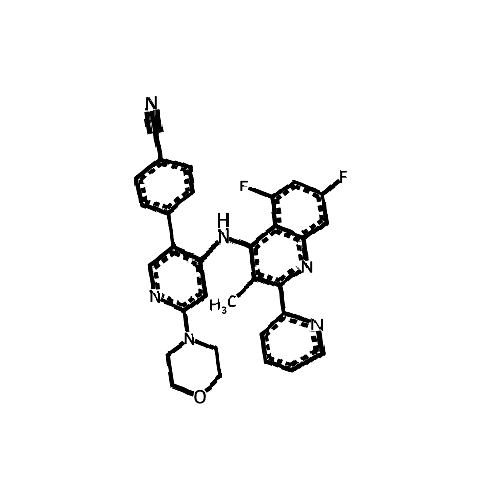 Cc1c(-c2ccccn2)nc2cc(F)cc(F)c2c1Nc1cc(N2CCOCC2)ncc1-c1ccc(C#N)cc1